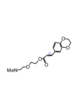 CNCCOCCOC(=O)/C=C/c1ccc2c(c1)OCCO2